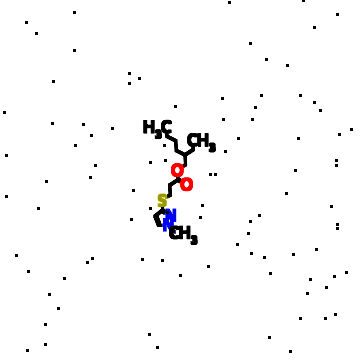 CCCCC(CC)COC(=O)CCSc1ccn(C)n1